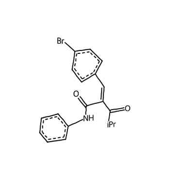 CC(C)C(=O)C(=Cc1ccc(Br)cc1)C(=O)Nc1ccccc1